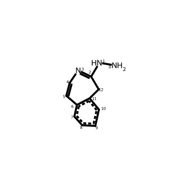 NNC1=NC=Cc2ccccc2C1